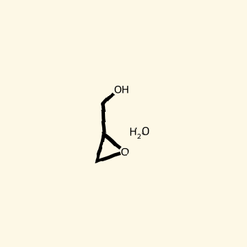 O.OCC1CO1